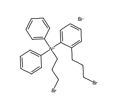 BrCCCc1ccccc1[N+](CCCBr)(c1ccccc1)c1ccccc1.[Br-]